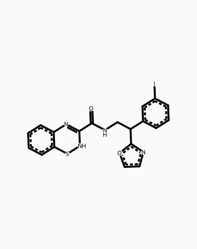 O=C(NCC(c1cccc(I)c1)c1ncco1)C1=Nc2ccccc2SN1